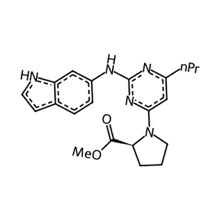 CCCc1cc(N2CCC[C@H]2C(=O)OC)nc(Nc2ccc3cc[nH]c3c2)n1